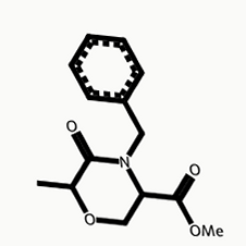 COC(=O)C1COC(C)C(=O)N1Cc1ccccc1